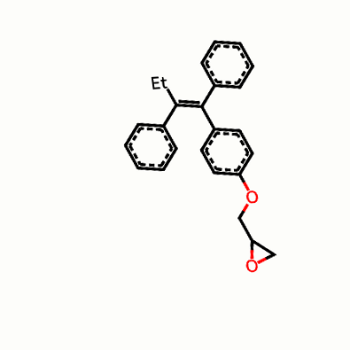 CC/C(=C(\c1ccccc1)c1ccc(OCC2CO2)cc1)c1ccccc1